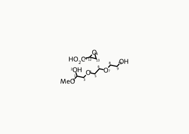 COC(O)COCCOCCO.O=C(O)C1CO1